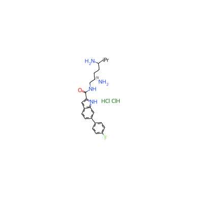 CC(C)C(N)CC[C@H](N)CNC(=O)c1cc2ccc(-c3ccc(F)cc3)cc2[nH]1.Cl.Cl